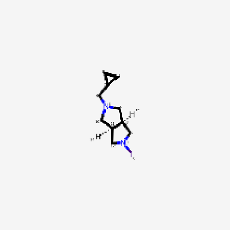 IN1C[C@@H]2CN(CC3CC3)C[C@@H]2C1